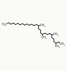 CCCCCCCCCCCCCCC(C)CCCC(C)CCCC(C)CCCC(C)CC